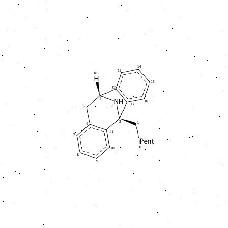 CCCC(C)C[C@]12N[C@H](Cc3ccccc31)c1ccccc12